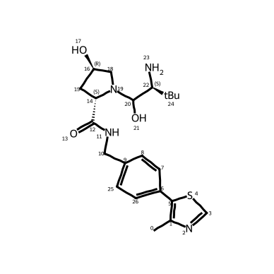 Cc1ncsc1-c1ccc(CNC(=O)[C@@H]2C[C@@H](O)CN2C(O)[C@@H](N)C(C)(C)C)cc1